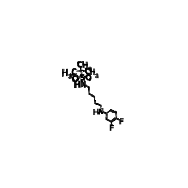 CC(C)(C)S(=O)(=O)NCCCCCNc1ccc(F)c(F)c1